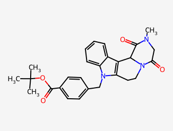 CN1CC(=O)N2CCc3c(c4ccccc4n3Cc3ccc(C(=O)OC(C)(C)C)cc3)C2C1=O